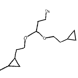 CC1CC1CCOC(CCC#N)OCCC1CC1